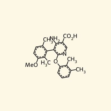 COc1ccc(C)c(-c2c(Oc3cccc(C)c3C)ncc(C(=O)O)c2N)c1C